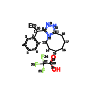 CC[C@H](c1ccccc1)c1nnc2n1CCCCCC2.O=C(O)C(F)(F)F